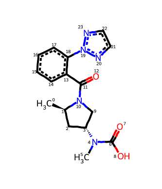 C[C@@H]1C[C@@H](N(C)C(=O)O)CN1C(=O)c1ccccc1-n1nccn1